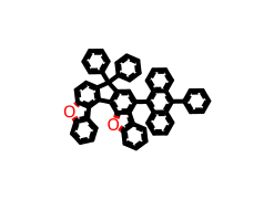 c1ccc(-c2c3ccccc3c(-c3cc4c(c5oc6ccccc6c35)-c3c(ccc5oc6ccccc6c35)C4(c3ccccc3)c3ccccc3)c3ccccc23)cc1